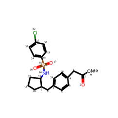 COC(=O)Cc1ccc(CC2CCCC2NS(=O)(=O)c2ccc(Cl)cc2)cc1